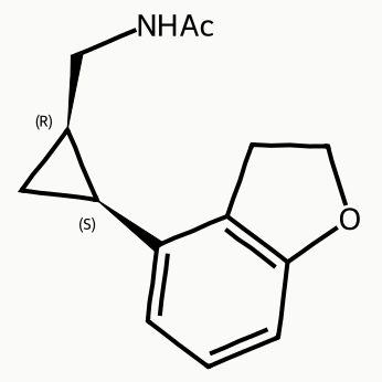 CC(=O)NC[C@@H]1C[C@@H]1c1cccc2c1CCO2